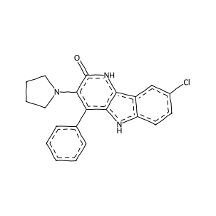 O=c1[nH]c2c([nH]c3ccc(Cl)cc32)c(-c2ccccc2)c1N1CCCC1